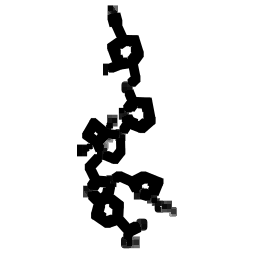 Cn1ccc(Cn2c(CN3CCN(c4cccc(OCc5ccc(C#N)cc5F)n4)[C@@H]4CC[C@@H]43)nc3ccc(C(=O)O)cc32)n1